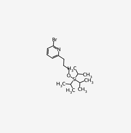 CC(C)[Si](OCCCc1cccc(Br)n1)(C(C)C)C(C)C